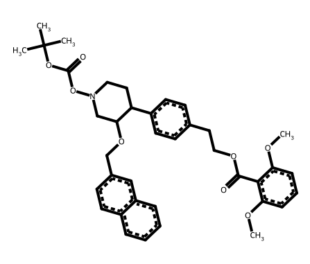 COc1cccc(OC)c1C(=O)OCCc1ccc(C2CCN(OC(=O)OC(C)(C)C)CC2OCc2ccc3ccccc3c2)cc1